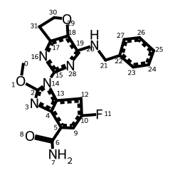 COc1nc2c(C(N)=O)cc(F)cc2n1-c1nc2c(c(NCc3ccccc3)n1)OCC2